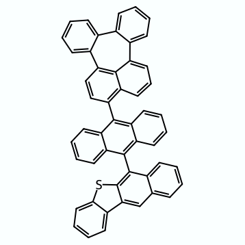 c1ccc2c(c1)-c1ccccc1-c1ccc(-c3c4ccccc4c(-c4c5ccccc5cc5c4sc4ccccc45)c4ccccc34)c3cccc-2c13